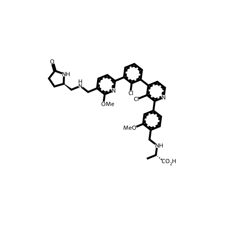 COc1cc(-c2nccc(-c3cccc(-c4ccc(CNC[C@H]5CCC(=O)N5)c(OC)n4)c3Cl)c2Cl)ccc1CN[C@@H](C)C(=O)O